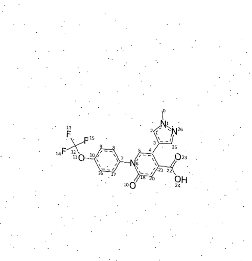 Cn1cc(-c2cn(-c3ccc(OC(F)(F)F)cc3)c(=O)cc2C(=O)O)cn1